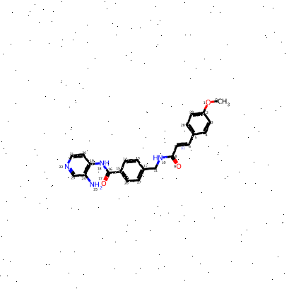 COc1ccc(/C=C/C(=O)NCc2ccc(C(=O)Nc3ccncc3N)cc2)cc1